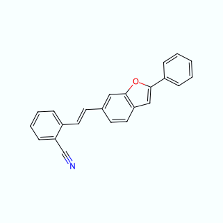 N#Cc1ccccc1/C=C/c1ccc2cc(-c3ccccc3)oc2c1